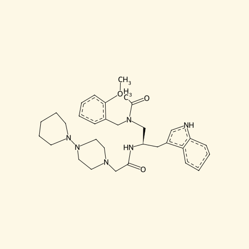 COc1ccccc1CN(C[C@@H](Cc1c[nH]c2ccccc12)NC(=O)CN1CCN(N2CCCCC2)CC1)C(C)=O